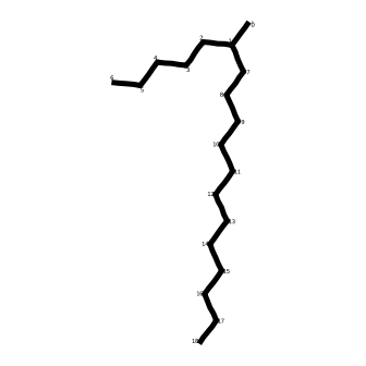 [CH2]C(CCCCC)CCCCCCCCCCCC